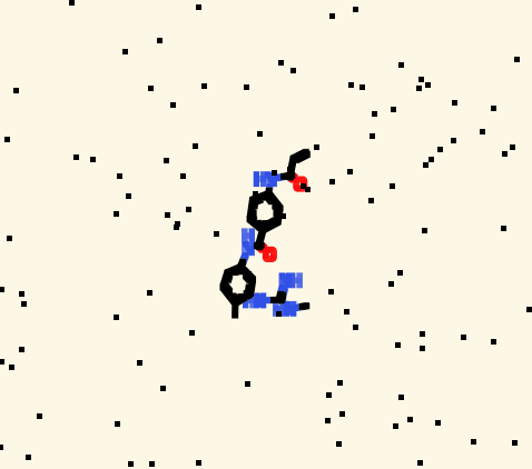 C=CC(=O)Nc1ccc(C(=O)Nc2ccc(C)c(NC(=N)NC)c2)cc1